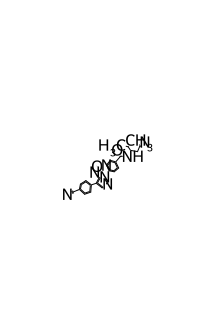 CC(C)C(CC#N)NC(=O)c1ccc(-n2ncc(-c3ccc(C#N)cc3)c2N=O)nc1